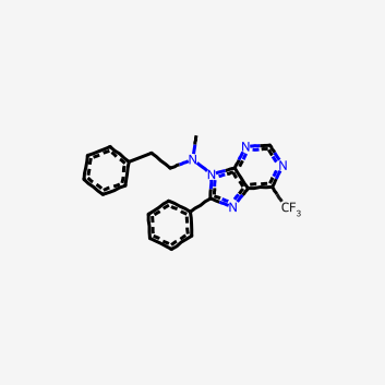 CN(CCc1ccccc1)n1c(-c2ccccc2)nc2c(C(F)(F)F)ncnc21